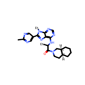 CCC(Nc1ncnc2c1nc(-c1cnc(C)nc1)n2CC)C(=O)N1CC[C@@H]2CCCC[C@@H]2C1